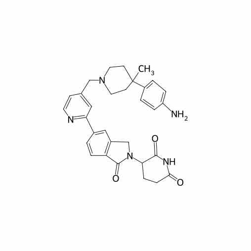 CC1(c2ccc(N)cc2)CCN(Cc2ccnc(-c3ccc4c(c3)CN(C3CCC(=O)NC3=O)C4=O)c2)CC1